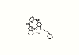 COc1cc(Nc2nccc(Nc3cnc4c(c3)CCCC4C(C)(C)C)n2)ccc1OCCCN1CCCCC1